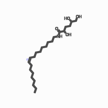 CCCCCCCC/C=C\CCCCCCCCNC(=O)C(O)CCC(O)CO